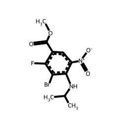 COC(=O)c1cc([N+](=O)[O-])c(NC(C)C)c(Br)c1F